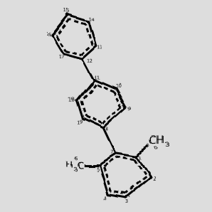 Cc1c[c]cc(C)c1-c1ccc(-c2ccccc2)cc1